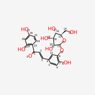 O=C(C=Cc1ccc(O)c(O[C@@H]2O[C@H](CO)[C@@H](O)[C@H](O)[C@H]2O)c1)c1ccc(O)cc1O